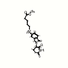 CC(C)(C)OC(=O)CCCCNc1ccc2c(c1)CN(C1CCC(=O)NC1=O)C2=O